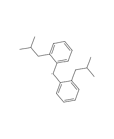 CC(C)Cc1ccccc1[CH]c1ccccc1CC(C)C